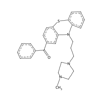 CN1CCN(CCCN2c3ccccc3Sc3ccc(C(=O)c4ccccc4)cc32)CC1